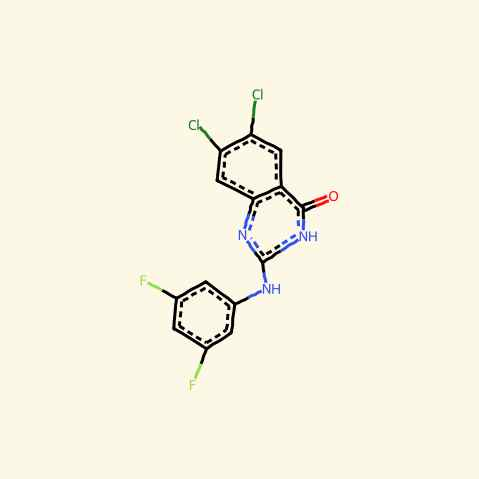 O=c1[nH]c(Nc2cc(F)cc(F)c2)nc2cc(Cl)c(Cl)cc12